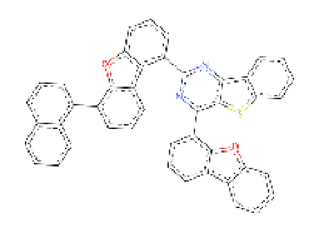 c1ccc2c(-c3cccc4c3oc3cccc(-c5nc(-c6cccc7c6oc6ccccc67)c6sc7ccccc7c6n5)c34)cccc2c1